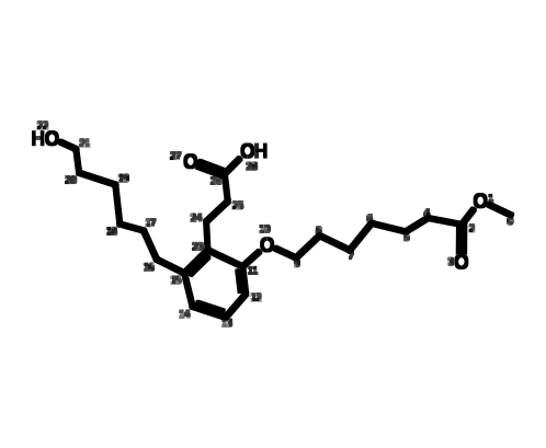 COC(=O)CCCCCCOc1cccc(CCCCCCO)c1CCC(=O)O